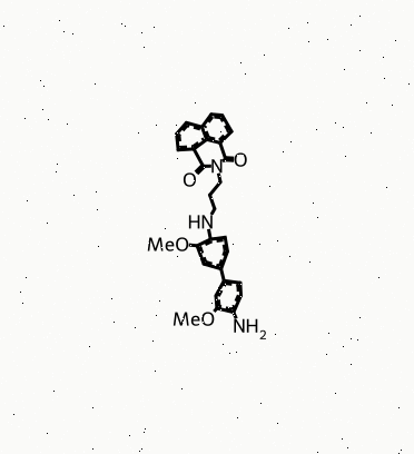 COc1cc(-c2ccc(NCCCN3C(=O)c4cccc5cccc(c45)C3=O)c(OC)c2)ccc1N